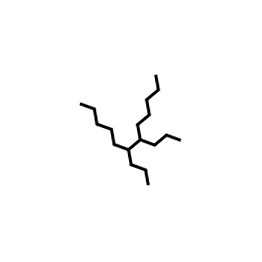 CCCCCC(CCC)C(CCC)CCCCC